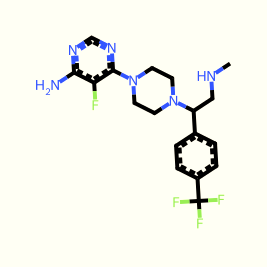 CNCC(c1ccc(C(F)(F)F)cc1)N1CCN(c2ncnc(N)c2F)CC1